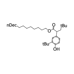 CCCCCCCCCCCCCCCCCCOC(=O)C(CC(C)(C)C)c1ccc(O)c(C(C)(C)C)c1